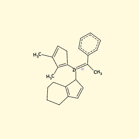 CC1=CC[C](/[Zr](=[C](/C)c2ccccc2)[CH]2C=CC3=C2CCCC3)=C1C